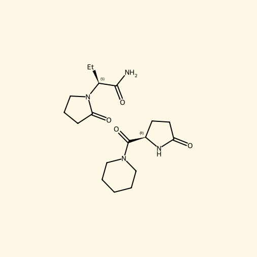 CC[C@@H](C(N)=O)N1CCCC1=O.O=C1CC[C@H](C(=O)N2CCCCC2)N1